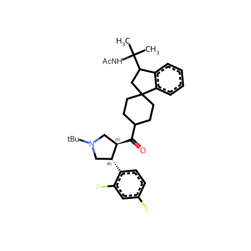 CC(=O)NC(C)(C)C1CC2(CCC(C(=O)[C@@H]3CN(C(C)(C)C)C[C@H]3c3ccc(F)cc3F)CC2)c2ccccc21